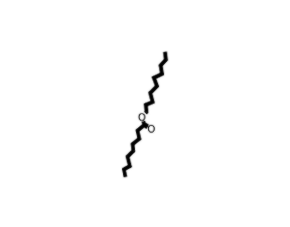 CCCCCCCCCCOC(=O)CCCCCCCC